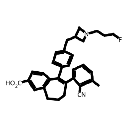 Cc1cccc(C2=C(c3ccc(CC4CN(CCCF)C4)cc3)c3ccc(C(=O)O)cc3CCC2)c1C#N